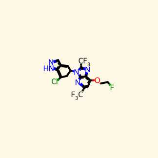 FCCOc1cc(C(F)(F)F)nc2c1nc(C(F)(F)F)n2C1C=c2cn[nH]c2=C(Cl)C1